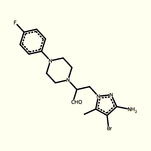 Cc1c(Br)c(N)nn1CC(C=O)N1CCN(c2ccc(F)cc2)CC1